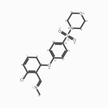 CN=CC1=C(Cl)C=CCC1Oc1ccc(S(=O)(=O)N2CCOCC2)cc1